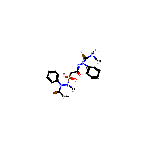 CNC(=S)N(c1ccccc1)N(C)S(=O)(=O)CC(=O)NN(C(=S)N(C)C)c1ccccc1